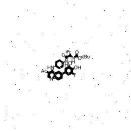 CC(=O)c1cnc2ccc(-c3cc(F)c(O)c(Cl)c3)cc2c1N[C@H]1CC[C@H](NC(=O)C(NC(=O)OC(C)(C)C)C(C)C)CC1